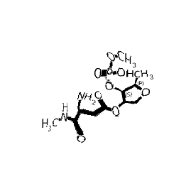 CNC(=O)C(N)CC(=O)OC1CO[C@H](C)[C@@H]1OP(=O)(O)OC